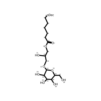 CCCCCCCCCCCCCCCC(=O)OCC(O)COC1OC(CO)C(O)C(O)C1O